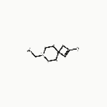 CCC1=CC2(CCN(CC(C)C)CC2)C1